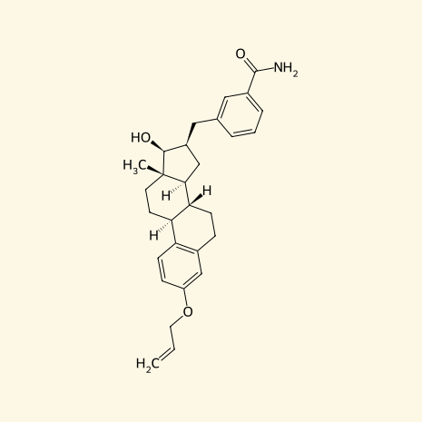 C=CCOc1ccc2c(c1)CC[C@@H]1[C@@H]2CC[C@]2(C)[C@@H](O)[C@@H](Cc3cccc(C(N)=O)c3)C[C@@H]12